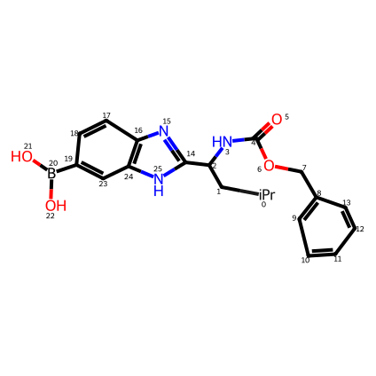 CC(C)CC(NC(=O)OCc1ccccc1)c1nc2ccc(B(O)O)cc2[nH]1